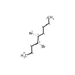 CCCC[C@@H](Br)[C@H](Br)CCC